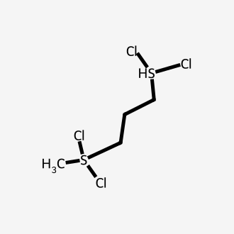 CS(Cl)(Cl)CCC[SH](Cl)Cl